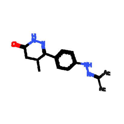 CC(=O)C(=NNc1ccc(C2=NNC(=O)CC2C)cc1)C(C)=O